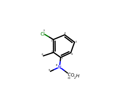 Cc1c(Cl)cccc1N(C)C(=O)O